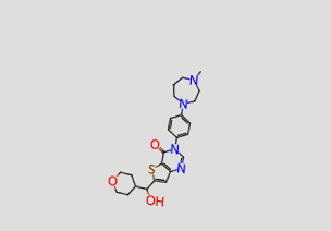 CN1CCCN(c2ccc(-n3cnc4cc(C(O)C5CCOCC5)sc4c3=O)cc2)CC1